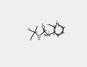 Cc1ncccc1NC(=O)OC(C)(C)C